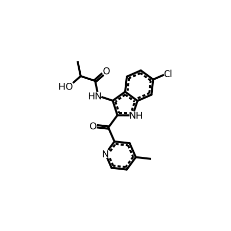 Cc1ccnc(C(=O)c2[nH]c3cc(Cl)ccc3c2NC(=O)C(C)O)c1